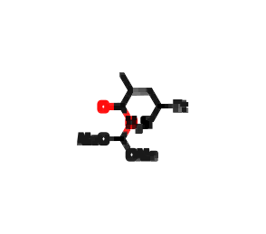 CCC([SiH3])C=C(C)C(=O)OC(OC)OC